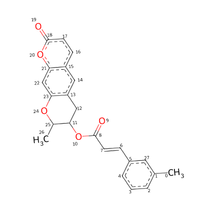 Cc1cccc(/C=C/C(=O)OC2Cc3cc4ccc(=O)oc4cc3OC2C)c1